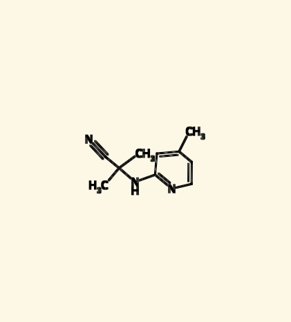 Cc1ccnc(NC(C)(C)C#N)c1